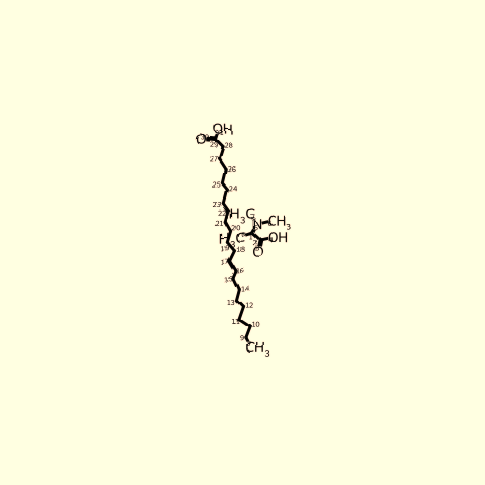 CC(C(=O)O)N(C)C.CCCCCCCCCCCCCCCCCCCCCC(=O)O